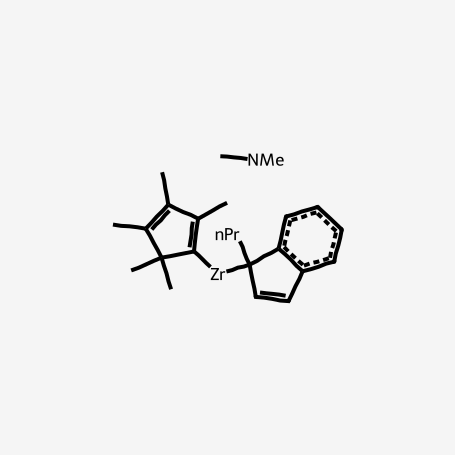 CCC[C]1([Zr][C]2=C(C)C(C)=C(C)C2(C)C)C=Cc2ccccc21.CNC